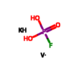 O=P(O)(O)F.[KH].[V]